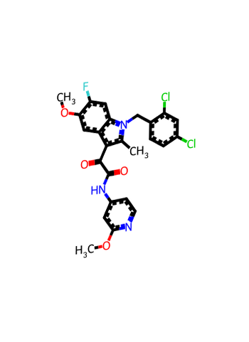 COc1cc(NC(=O)C(=O)c2c(C)n(Cc3ccc(Cl)cc3Cl)c3cc(F)c(OC)cc23)ccn1